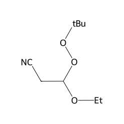 CCOC(CC#N)OOC(C)(C)C